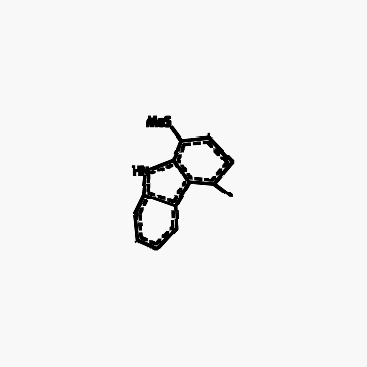 CSc1[c]cc(C)c2c1[nH]c1ccccc12